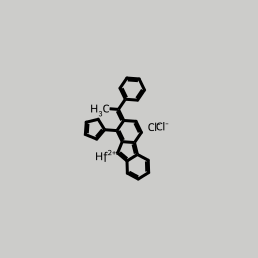 CC(c1ccccc1)=c1ccc2c(c1C1=CC=CC1)[C]([Hf+2])=c1ccccc1=2.[Cl-].[Cl-]